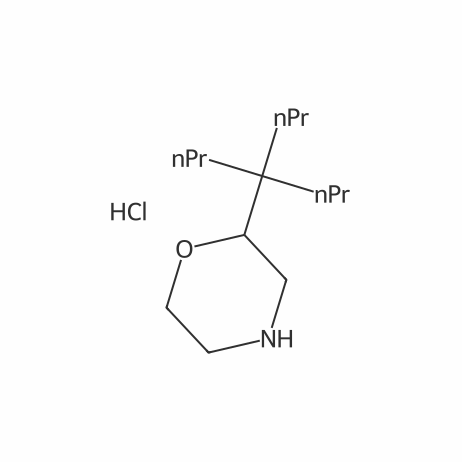 CCCC(CCC)(CCC)C1CNCCO1.Cl